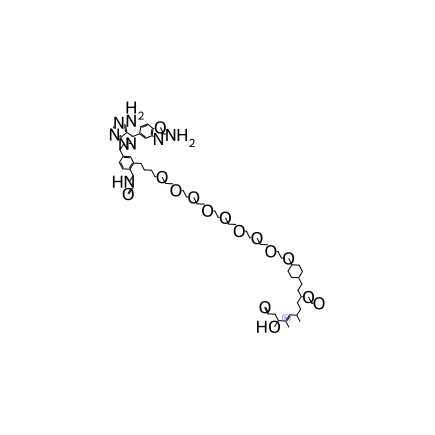 C/C(=C\C(C)CCC(CCC1CCC(OCCOCCOCCOCCOCCOCCOCCOCCOCCCCc2cc(Cn3nc(-c4ccc5oc(N)nc5c4)c4c(N)ncnc43)ccc2CNC=O)CC1)OC=O)C(O)CC=O